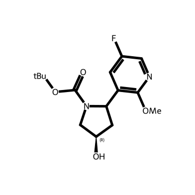 COc1ncc(F)cc1C1C[C@@H](O)CN1C(=O)OC(C)(C)C